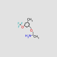 Cc1cc(COC[C@H](C)N)cc(OC(F)(F)F)c1